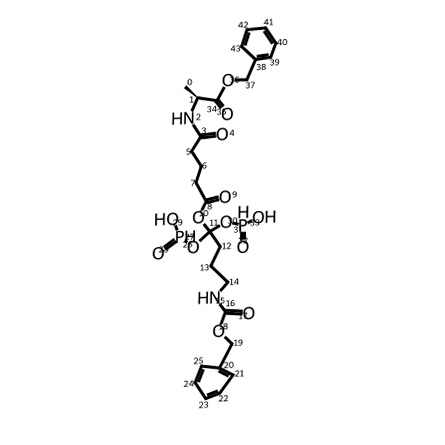 C[C@H](NC(=O)CCCC(=O)OC(CCCNC(=O)OCc1ccccc1)(O[PH](=O)O)O[PH](=O)O)C(=O)OCc1ccccc1